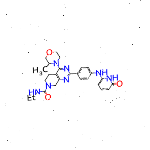 CCNC(=O)N1CCc2c(nc(-c3ccc(Nc4cccc(=O)[nH]4)cc3)nc2N2CCOC[C@@H]2C)C1